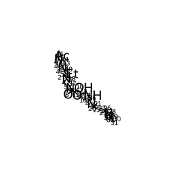 CCC(C)(N1CCN(C(=O)C(O)OC2CNC3(C2)CN(C(C)(C)CCC(C)(C)N2CC4CCC(C2)N4C)C3)CC1)C(C)(C)N1CCN(C(C)=O)CC1